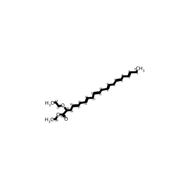 CCC=CCC=CCC=CCC=CCC=CCC=CCC(OCCC)C(=O)OCC